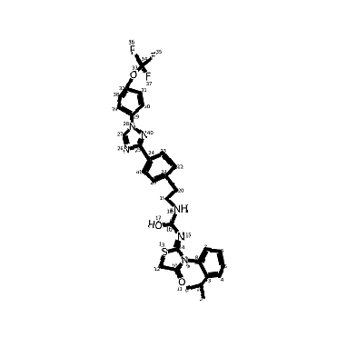 CC(C)c1ccccc1N1C(=O)CS/C1=N\C(O)NCCc1ccc(-c2ncn(-c3ccc(OC(F)(F)F)cc3)n2)cc1